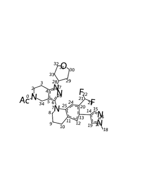 CC(=O)N1CCc2c(c(N3CCCc4cc(-c5cnn(C)c5)c(C(F)F)cc43)nn2C2CCOCC2)C1